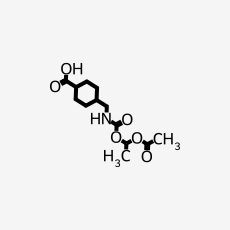 CC(=O)OC(C)OC(=O)NCC1CCC(C(=O)O)CC1